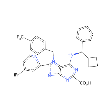 CC(C)c1ccnc(-c2nc3nc(C(=O)O)nc(N[C@@H](c4ccccc4)C4CCC4)c3n2Cc2ccc(C(F)(F)F)cc2)c1